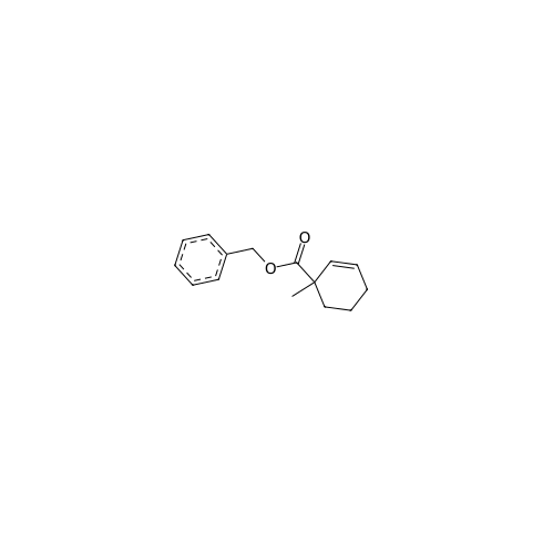 CC1(C(=O)OCc2ccccc2)C=CCCC1